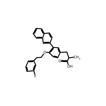 CC(Cc1ccc(OCCc2cccc(F)c2)c(-c2ccc3ccccc3c2)c1)C(=O)O